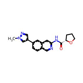 Cn1cc(-c2ccc3cnc(NC(=O)[C@@H]4CCCO4)cc3c2)cn1